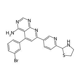 Nc1ncnc2nc(-c3ccc(C4NCCS4)nc3)cc(-c3cccc(Br)c3)c12